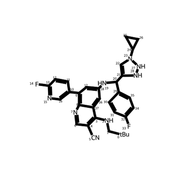 CC(C)(C)CNc1c(C#N)cnc2c(-c3ccc(F)nc3)cc(NC(C3=CN(C4CC4)NN3)c3ccc(F)cc3)cc12